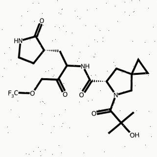 CC(C)(O)C(=O)N1CC2(CC2)C[C@H]1C(=O)NC(C[C@@H]1CCNC1=O)C(=O)COC(F)(F)F